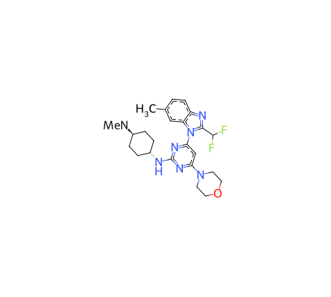 CN[C@H]1CC[C@H](Nc2nc(N3CCOCC3)cc(-n3c(C(F)F)nc4ccc(C)cc43)n2)CC1